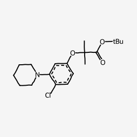 CC(C)(C)OC(=O)C(C)(C)Oc1ccc(Cl)c(N2CCCCC2)c1